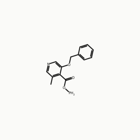 Cc1cncc(OCc2ccccc2)c1C(=O)OP